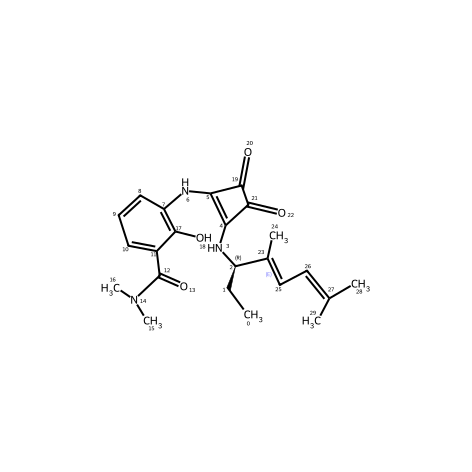 CC[C@@H](Nc1c(Nc2cccc(C(=O)N(C)C)c2O)c(=O)c1=O)/C(C)=C/C=C(C)C